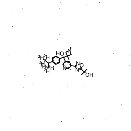 [2H]C([2H])([2H])C(c1ccc([C@](O)(c2cncc(-c3noc(C(C)(C)O)n3)c2)C2(C)CN(C)C2)cc1)C([2H])([2H])[2H]